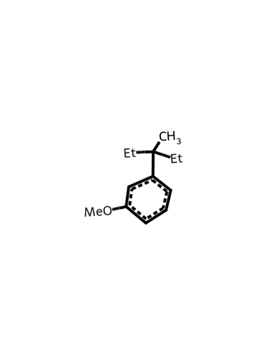 CCC(C)(CC)c1cccc(OC)c1